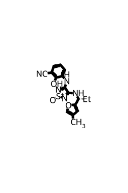 CC[C@@H](Nc1n[s+]([O-])nc1Nc1cccc(C#N)c1O)c1cc(C)co1